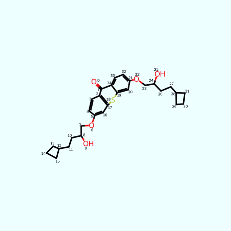 O=c1c2ccc(OCC(O)CCC3CCC3)cc2sc2cc(OCC(O)CCC3CCC3)ccc12